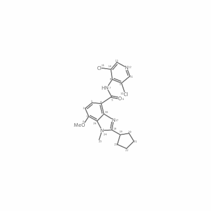 COc1ccc(C(=O)Nc2c(Cl)cncc2Cl)c2nc(C3CCCC3)n(C)c12